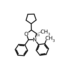 Cc1ccccc1N1C(c2ccccc2)OC(C2CCCC2)[C@@H]1C